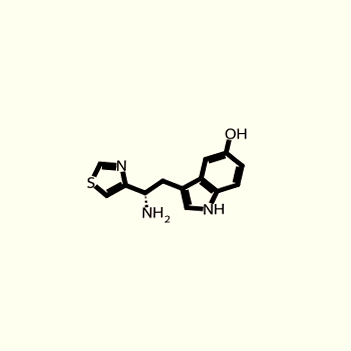 N[C@@H](Cc1c[nH]c2ccc(O)cc12)c1cscn1